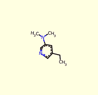 CCc1cncc(N(C)C)c1